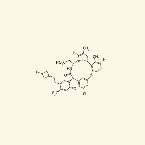 Cc1cc2cc(c1F)[C@H](CC(=O)O)NC(=O)[C@H](n1cc(CCN3CC(F)C3)c(C(F)(F)F)cc1=O)c1cc(Cl)cc(c1)Oc1ccc(F)c(C)c1-2